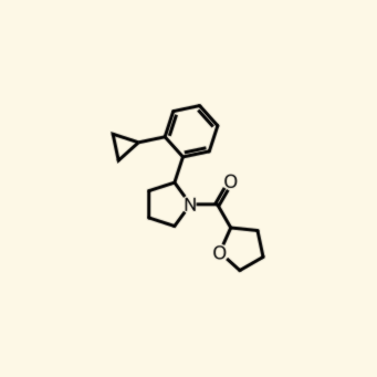 O=C(C1CCCO1)N1CCCC1c1ccccc1C1CC1